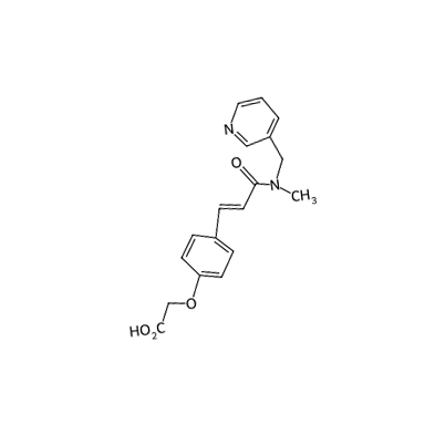 CN(Cc1cccnc1)C(=O)/C=C/c1ccc(OCC(=O)O)cc1